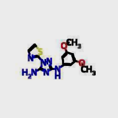 COc1cc(Nc2nc(N)n(-c3nccs3)n2)cc(OC)c1